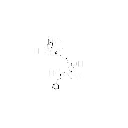 CC(CO[N+](=O)[O-])OC(=O)CCC/C=C\C[C@H]1[C@H](CCC(O)CCc2ccccc2)[C@@H](O)C[C@H]1O